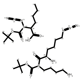 CC(C)(C)OC(=O)N(CCCCN)C(=O)[C@H](N)CCCCN=[N+]=[N-].CCCCC(C(=O)O)N(N=[N+]=[N-])C(=O)OC(C)(C)C